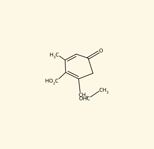 CC1=CC(=O)CC(C)=C1C(=O)O.CC=O